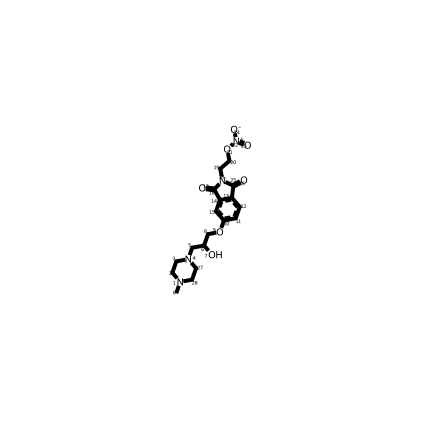 CN1CCN(CC(O)COc2ccc3c(c2)C(=O)N(CCO[N+](=O)[O-])C3=O)CC1